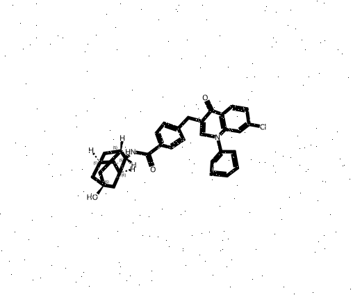 O=C(N[C@@H]1[C@@H]2C[C@@H]3C[C@H]1C[C@@](O)(C3)C2)c1ccc(Cc2cn(-c3ccccc3)c3cc(Cl)ccc3c2=O)cc1